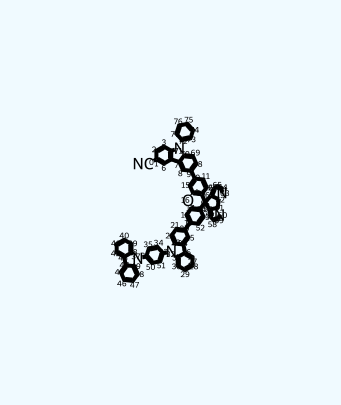 N#Cc1ccc2c(c1)c1cc(-c3ccc4c(c3)Oc3cc(-c5ccc6c(c5)c5ccccc5n6-c5ccc(-n6c7ccccc7c7ccccc76)cc5)ccc3C43c4cccnc4-c4ncccc43)ccc1n2-c1ccccc1